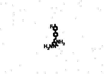 Cc1ccc(-c2ccc(CCc3cc(N)nc(C)c3N)cc2)cc1F